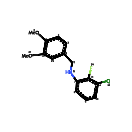 COc1ccc(CNc2cccc(Cl)c2F)cc1OC